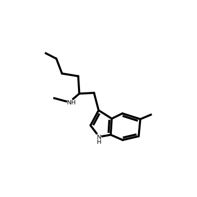 CCCCC(Cc1c[nH]c2ccc(C)cc12)NC